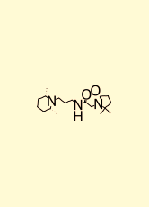 C[C@@H]1CCC[C@H](C)N1CCCNC(=O)CN1C(=O)CCC1(C)C